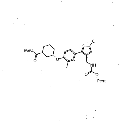 CCC[C@@H](C)OC(=O)NCc1cc(Cl)sc1-c1ccc(O[C@H]2CCC[C@H](C(=O)OC)C2)c(C)n1